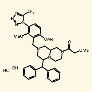 COCC(=O)N1CCN2C(CN(Cc3c(OC)ccc(-n4nnnc4C(F)(F)F)c3OC)CC2C(c2ccccc2)c2ccccc2)C1.Cl.Cl